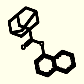 O=C(Oc1cccc2ccccc12)C12CC3CC(CC(C3)C1)C2